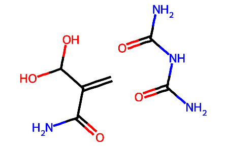 C=C(C(N)=O)C(O)O.NC(=O)NC(N)=O